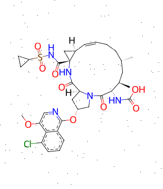 COc1cnc(O[C@@H]2C[C@H]3C(=O)N[C@]4(C(=O)NS(=O)(=O)C5CC5)C[C@H]4C=CCC[C@H](C)C[C@@H](C)[C@H](NC(=O)O)C(=O)N3C2)c2cccc(Cl)c12